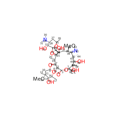 CC[C@H]1OC(=O)[C@H](C)[C@@H](OC2CC(C)(OC)C(O)C(C)O2)C(C)[C@@H](OC2OC(C)CC(N(C)C)C2O)[C@](C)(O)C[C@@H](C)/C(=N\OC)[C@H](C)[C@@H](O)[C@]1(C)O